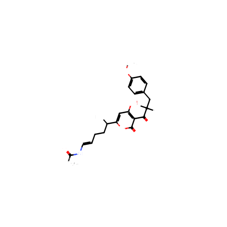 CCCCOc1ccc(CC(C)(C)C(=O)c2c(O)cc(C(C)CC/C=C/NC(=O)OC)oc2=O)cc1